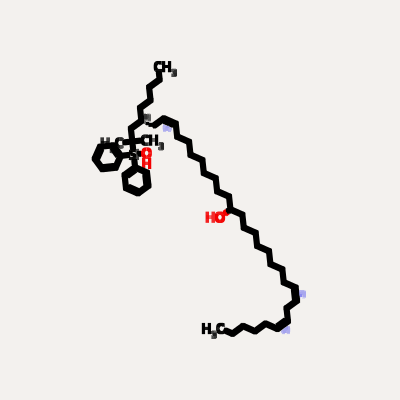 CCCCC/C=C\C/C=C\CCCCCCCCC(O)CCCCCCCC/C=C\C[C@@H](CCCCC)CC(C)(C)[Si](O)(c1ccccc1)c1ccccc1